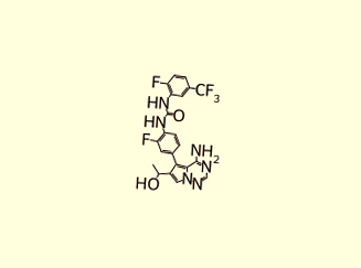 CC(O)c1cn2ncnc(N)c2c1-c1ccc(NC(=O)Nc2cc(C(F)(F)F)ccc2F)c(F)c1